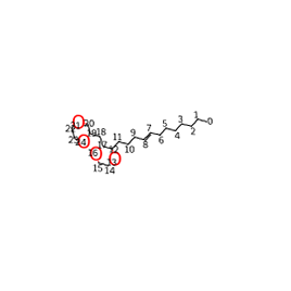 CCCCCCCC=CCCCC1OCCOC1CC1COCCO1